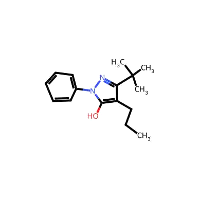 CCCc1c(C(C)(C)C)nn(-c2ccccc2)c1O